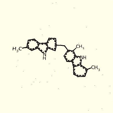 Cc1ccc2c(c1)[nH]c1cc(Cc3ccc4c([nH]c5c(C)cccc54)c3C)ccc12